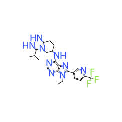 CCn1c(-c2ccc(C(F)(F)F)nc2)nc2c(NC3CCC(=N)N(C(=N)C(C)C)C3)ncnc21